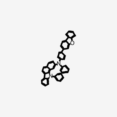 c1ccc(N(c2ccc(-c3ccc4c(c3)oc3ccccc34)cc2)c2ccc3ccc4c5ccccc5n(-c5ccccc5)c4c3c2)cc1